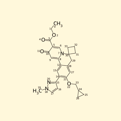 CCOC(=O)c1cn2c(cc1=O)-c1cc(-c3ccn(C)n3)c(OCC3CC3)cc1CC21CCC1